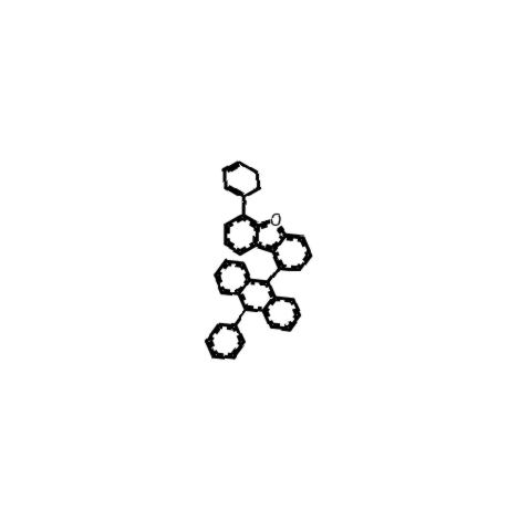 C1=CCCC(c2cccc3c2oc2cccc(-c4c5ccccc5c(-c5ccccc5)c5ccccc45)c23)=C1